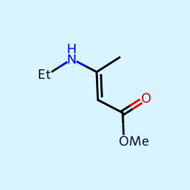 CCNC(C)=CC(=O)OC